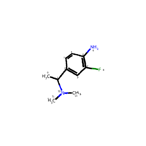 CC(c1ccc(N)c(F)c1)N(C)C